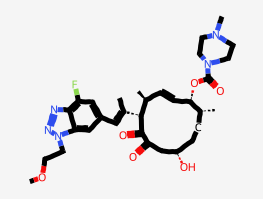 COCCn1nnc2c(F)cc(/C=C(\C)[C@H]3C(=O)C(=O)C[C@@H](O)CC[C@@H](C)[C@@H](OC(=O)N4CCN(C)CC4)/C=C/[C@@H]3C)cc21